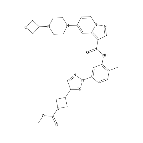 COC(=O)N1CC(c2cnn(-c3ccc(C)c(NC(=O)c4cnn5ccc(N6CCN(C7COC7)CC6)cc45)c3)n2)C1